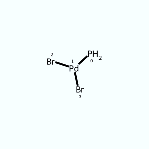 [PH2][Pd]([Br])[Br]